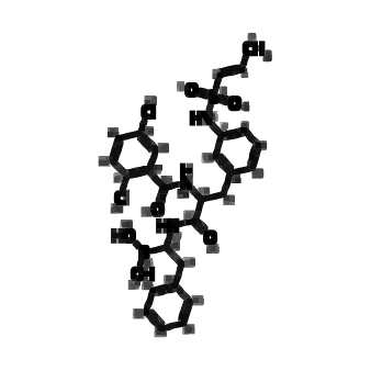 CC=CS(=O)(=O)Nc1cccc(CC(NC(=O)c2cc(Cl)ccc2Cl)C(=O)NC(Cc2ccccc2)B(O)O)c1